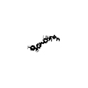 COC[C@H]1C[C@@H](CC(=O)NC2CCC(CCN3CCC(C(=O)c4ccc(F)cc4)CC3)CC2)C1